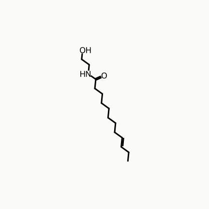 CC/C=C/CCCCCCCC(=O)NCCO